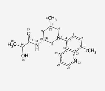 Cc1ccc(N2C[C@@H](C)C[C@@H](NC(=O)C(C)O)C2)c2nccnc12